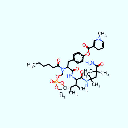 CCCCCC(=O)N(COP(=O)(OC)OC)C(Cc1ccc(OC(=O)C2=CN(C)C=CC2)cc1)C(=O)NC(C(=O)NC(C)(C)CC(C)(C)C(N)=O)C(C)CC